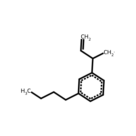 [CH2]C(C=C)c1cccc(CCCC)c1